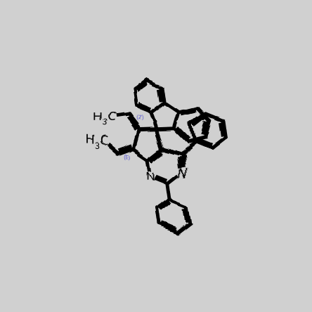 C/C=C1\C(=C/C)c2nc(-c3ccccc3)nc(-c3ccccc3)c2C12c1ccccc1-c1ccccc12